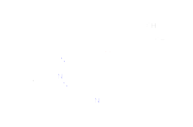 CCC1CCNc2c(-c3ccc(OCc4ccc(C(C)C)cc4)cc3)c(-c3ccncc3)nn21